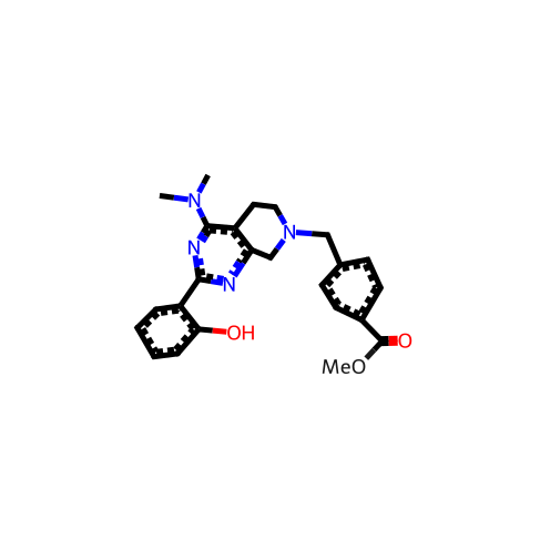 COC(=O)c1ccc(CN2CCc3c(nc(-c4ccccc4O)nc3N(C)C)C2)cc1